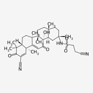 CC1(C)C(=O)C(C#N)=C[C@]2(C)C3=CC(=O)[C@]4(O)[C@@H]5C[C@@](C)(NS(=O)(=O)CCC#N)CC[C@@]5(C)CC[C@@]4(C)[C@]3(C)CC[C@@H]12